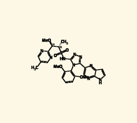 COc1cccc(OC)c1-n1c(NS(=O)(=O)[C@@H](C)[C@H](OC)c2ncc(C)cn2)nnc1-c1cnc2[nH]ccc2n1